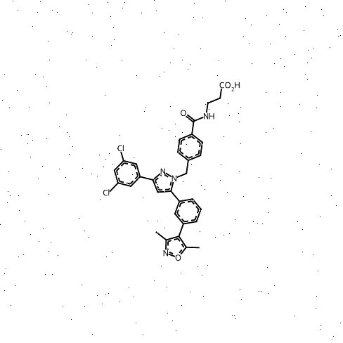 Cc1noc(C)c1-c1cccc(-c2cc(-c3cc(Cl)cc(Cl)c3)nn2Cc2ccc(C(=O)NCCC(=O)O)cc2)c1